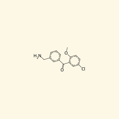 COc1ccc(Cl)cc1C(=O)c1cccc(CN)c1